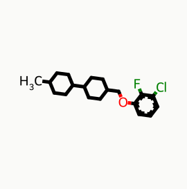 CC1CCC(C2CCC(COc3cccc(Cl)c3F)CC2)CC1